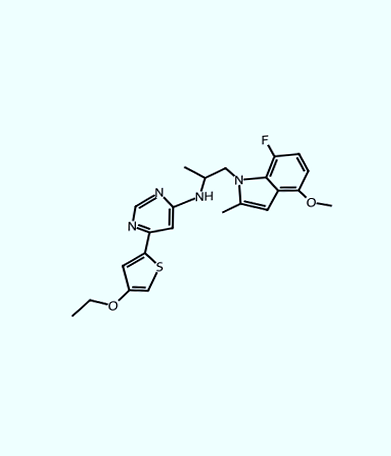 CCOc1csc(-c2cc(NC(C)Cn3c(C)cc4c(OC)ccc(F)c43)ncn2)c1